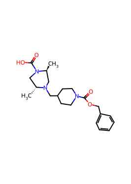 C[C@@H]1CN(C(=O)O)[C@@H](C)CN1CC1CCN(C(=O)OCc2ccccc2)CC1